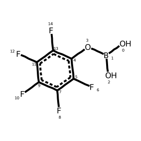 OB(O)Oc1c(F)c(F)c(F)c(F)c1F